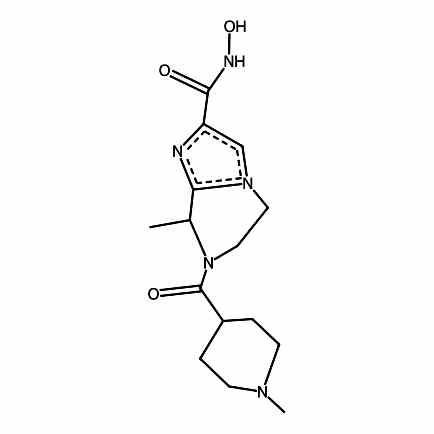 CC1c2nc(C(=O)NO)cn2CCN1C(=O)C1CCN(C)CC1